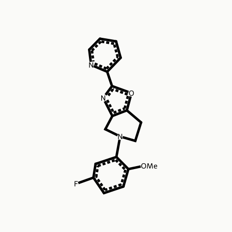 COc1ccc(F)cc1N1CCc2oc(-c3ccccn3)nc2C1